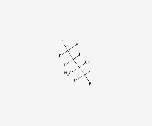 CC(C)(C(F)(F)F)C(F)(F)C(F)(F)F